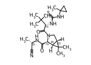 C[C@@H](C#N)NC(=O)[C@@H]1[C@@H]2[C@H](CN1C(=O)[C@@H](NC(=S)NC1(C)CC1)C(C)(C)C)C2(C)C